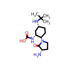 CC(C)(C)N[C@@H]1CC[C@H](N2CC[C@H](N)C2=O)[C@H](NC(=O)O)C1